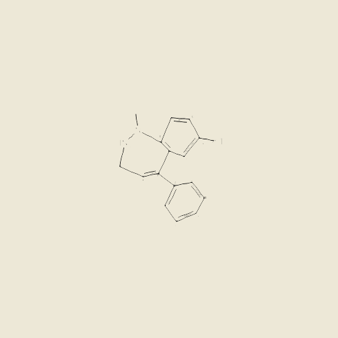 CN1NCC=C(c2ccccc2)c2cc(Cl)ccc21